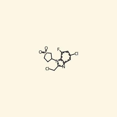 O=S1(=O)CCC(n2c(CCl)nc3cc(Cl)cc(F)c32)C1